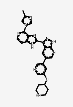 Cc1cn(-c2nccc3[nH]c(-c4n[nH]c5ncc(-c6cncc(OC7CCNCC7)c6)cc45)nc23)cn1